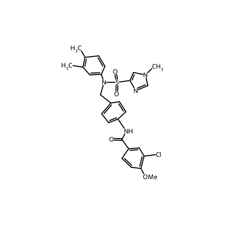 COc1ccc(C(=O)Nc2ccc(CN(c3ccc(C)c(C)c3)S(=O)(=O)c3cn(C)cn3)cc2)cc1Cl